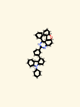 c1ccc(-c2nc(-c3cccc(-c4cccc5c4c4ccccc4n5-c4ccccc4)c3)nc3ccc4oc5ccccc5c4c23)cc1